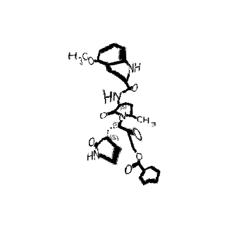 COc1cccc2[nH]c(C(=O)N[C@H]3CC(C)N([C@@H](C[C@@H]4CCNC4=O)C(=O)COC(=O)c4ccccc4)C3=O)cc12